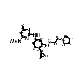 CNc1cc(C)nc(Nc2ccc(C3CC3)c(OCCCN3CCCC3)c2)n1